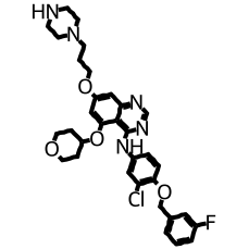 Fc1cccc(COc2ccc(Nc3ncnc4cc(OCCCN5CCNCC5)cc(OC5CCOCC5)c34)cc2Cl)c1